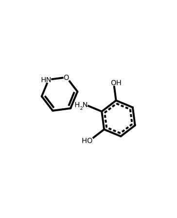 C1=CNOC=C1.Nc1c(O)cccc1O